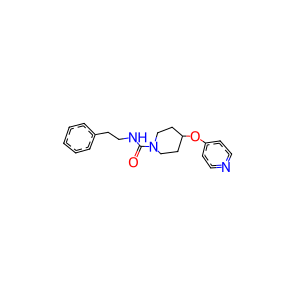 O=C(NCCc1ccccc1)N1CCC(Oc2ccncc2)CC1